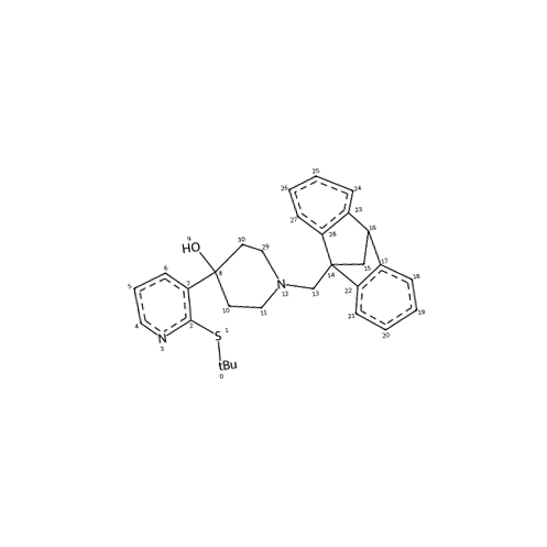 CC(C)(C)Sc1ncccc1C1(O)CCN(CC23CC(c4ccccc42)c2ccccc23)CC1